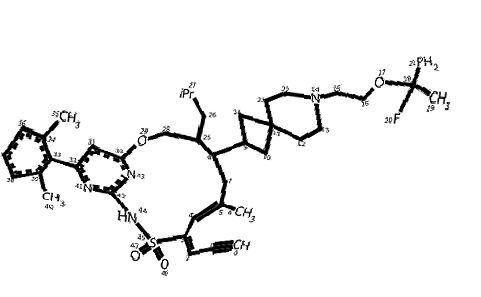 C#C/C=C1\C=C(/C)CC(C2CC3(CCN(CCOC(C)(F)P)CC3)C2)C(CC(C)C)COc2cc(-c3c(C)cccc3C)nc(n2)NS1(=O)=O